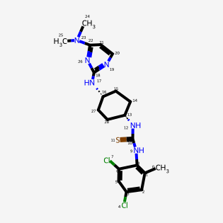 Cc1cc(Cl)cc(Cl)c1NC(=S)N[C@H]1CC[C@@H](Nc2nccc(N(C)C)n2)CC1